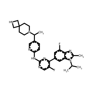 Cc1nc2c(F)cc(-c3nc(Nc4ccc(C(C)N5CCC6(CC5)CNC6)cn4)ncc3F)cc2n1C(C)C